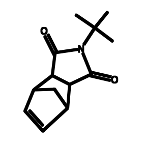 CC(C)(C)N1C(=O)C2C3C=CC(C3)C2C1=O